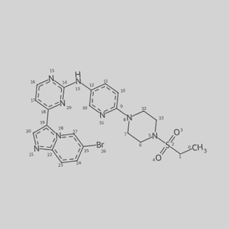 CCS(=O)(=O)N1CCN(c2ccc(Nc3nccc(-c4cnc5ccc(Br)cn45)n3)cn2)CC1